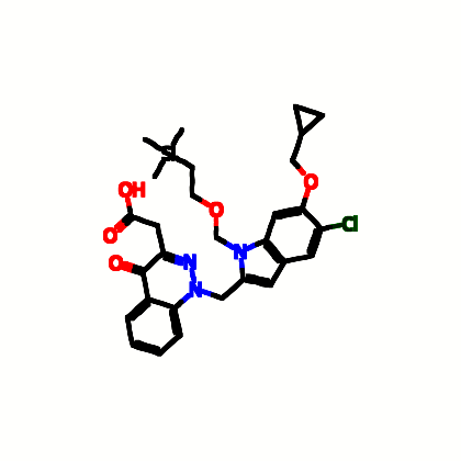 C[Si](C)(C)CCOCn1c(Cn2nc(CC(=O)O)c(=O)c3ccccc32)cc2cc(Cl)c(OCC3CC3)cc21